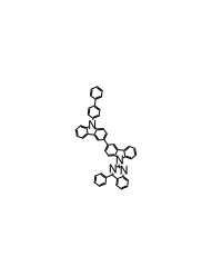 c1ccc(-c2ccc(-n3c4ccccc4c4cc(-c5ccc6c(c5)c5ccccc5n6-c5nc(-c6ccccc6)c6ccccc6n5)ccc43)cc2)cc1